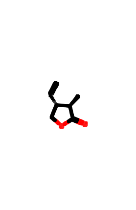 C=C[C@H]1COC(=O)[C@@H]1C